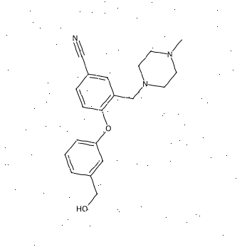 CN1CCN(Cc2cc(C#N)ccc2Oc2cccc(CO)c2)CC1